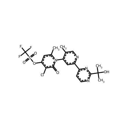 Cc1cnc(-c2ccnc(C(C)(C)O)n2)cc1-n1c(C)cc(OS(=O)(=O)C(F)(F)F)c(Cl)c1=O